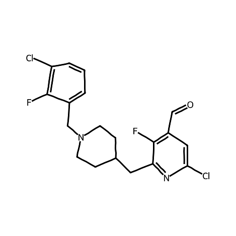 O=Cc1cc(Cl)nc(CC2CCN(Cc3cccc(Cl)c3F)CC2)c1F